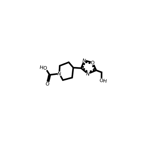 O=C(O)N1CCC(c2noc(CO)n2)CC1